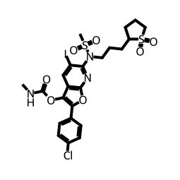 CNC(=O)Oc1c(-c2ccc(Cl)cc2)oc2nc(N(CCCC3CCCS3(=O)=O)S(C)(=O)=O)c(I)cc12